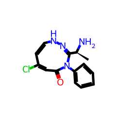 C[C@H](N)c1n[nH]ccc(Cl)cc(=O)n1-c1ccccc1